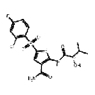 CC(C)[C@H](O)C(=O)Nc1sc(S(=O)(=O)c2ccc(F)cc2Cl)cc1C(N)=O